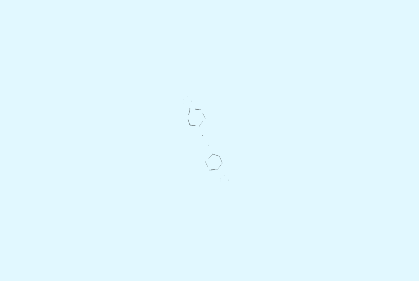 CCCCCCC(C)(c1ccc(OC)cc1)C(C)(CCCCCC)c1ccc(OC)cc1